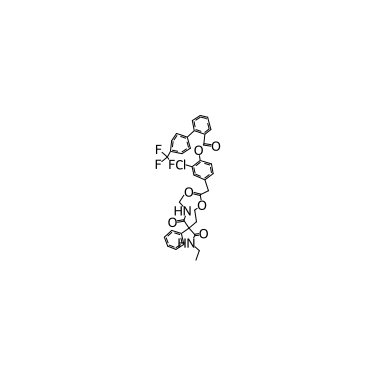 CCNC(=O)C(CCOC(=O)Cc1ccc(OC(=O)c2ccccc2-c2ccc(C(F)(F)F)cc2)c(Cl)c1)(C(=O)NCC)c1ccccc1